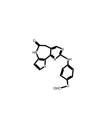 O=COc1ccc(Nc2ncc3c(n2)-c2sccc2NC(=O)C3)cc1